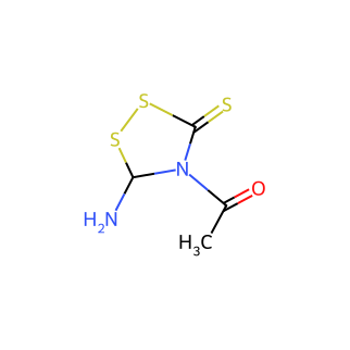 CC(=O)N1C(=S)SSC1N